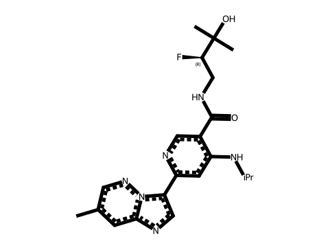 Cc1cnn2c(-c3cc(NC(C)C)c(C(=O)NC[C@@H](F)C(C)(C)O)cn3)cnc2c1